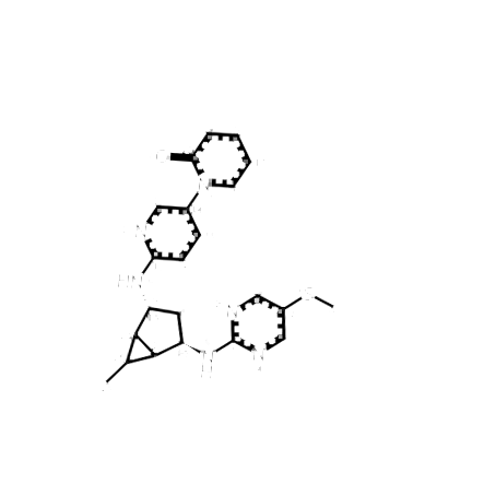 CSc1cnc(N[C@@H]2C[C@@H](Nc3ccc(-n4ccccc4=O)cn3)C3C(C)C32)nc1